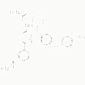 CC(C)(C)c1ccc(Oc2cccc(CN(C(=O)c3cccc(C=NN)c3)C(CC3CCCCC3)C(=O)NCC(N)=O)c2)cc1